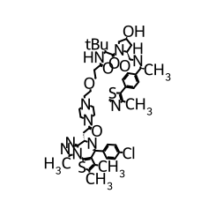 Cc1ncsc1-c1ccc([C@H](C)NC(=O)[C@@H]2C[C@@H](O)CN2C(=O)C(NC(=O)CCOCCN2CCN(C(=O)C[C@@H]3N=C(c4ccc(Cl)cc4)c4c(sc(C)c4C)-n4c(C)nnc43)CC2)C(C)(C)C)cc1